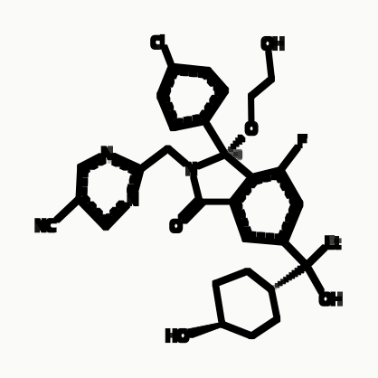 CCC(O)(c1cc(F)c2c(c1)C(=O)N(Cc1ncc(C#N)cn1)[C@@]2(OCCO)c1ccc(Cl)cc1)[C@H]1CC[C@H](O)CC1